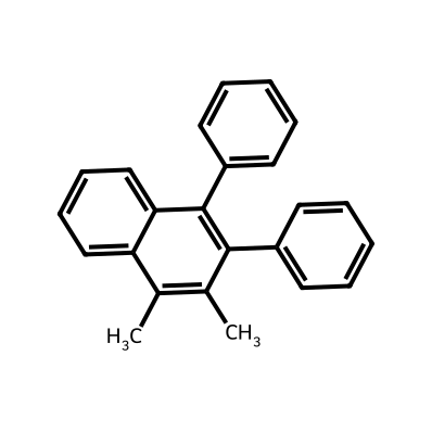 Cc1c(-c2ccccc2)c(-c2ccccc2)c2ccccc2c1C